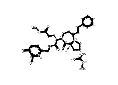 CC(C)(C)OC(=O)CC[C@H](C(=O)NCc1ccc(Cl)c(Cl)n1)N1CCC(CCc2ccccc2)N2C[C@H](NC(=O)OC(C)(C)C)C[C@H]2C1=O